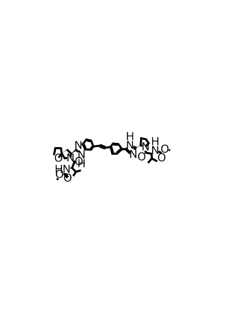 COC(=O)N[C@H](C(=O)N1CCC[C@H]1c1ncc(-c2ccc(C#Cc3ccc4nc([C@@H]5C[C@]6(CCCO6)CN5C(=O)[C@@H](NC(=O)OC)C(C)C)[nH]c4c3)cc2)[nH]1)C(C)C